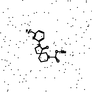 CC(C)(C)OC(=O)N1CCCC2(CCN(c3cccc(C(F)(F)F)n3)C2=O)C1